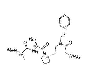 CN[C@@H](C)C(=O)N[C@H](C(=O)N1CCC[C@H]1CCN(CCc1ccccc1)C(=O)CNC(C)=O)C(C)(C)C